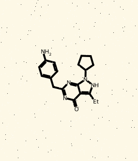 CCc1[nH]n(C2CCCC2)c2nc(Cc3ccc(N)cc3)nc(=O)c1-2